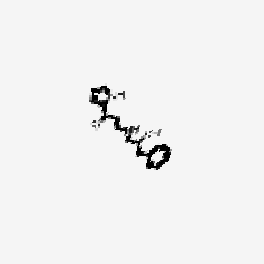 O=C(CCNCC(O)Cc1ccccc1)c1ccc[nH]1